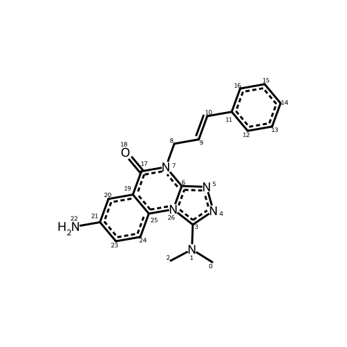 CN(C)c1nnc2n(C/C=C/c3ccccc3)c(=O)c3cc(N)ccc3n12